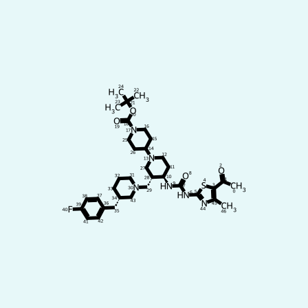 CC(=O)c1sc(NC(=O)N[C@@H]2CCN(C3CCN(C(=O)OC(C)(C)C)CC3)C[C@H]2CN2CCC[C@@H](Cc3ccc(F)cc3)C2)nc1C